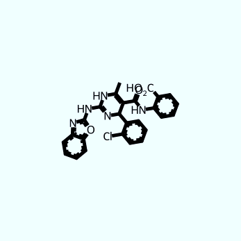 CC1=C(C(=O)Nc2ccccc2C(=O)O)C(c2ccccc2Cl)N=C(Nc2nc3ccccc3o2)N1